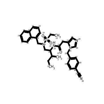 CCC(C)C(CN(Cc1cccc2ccccc12)S(=O)(=O)CC)NC(=O)Cc1cncn1Cc1ccc(C#N)cc1